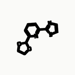 c1cc(-c2nccs2)nc(C2OCCO2)c1